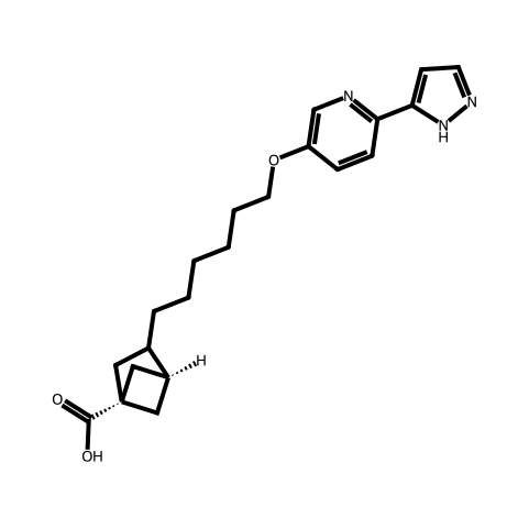 O=C(O)[C@]12CC(CCCCCCOc3ccc(-c4ccn[nH]4)nc3)[C@H](C1)C2